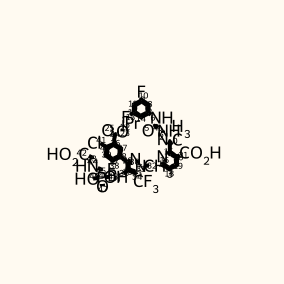 C/C(=N\NC(=O)Nc1cc(F)cc(F)c1)c1ncccc1C(=O)O.CC(C)OC(=O)c1cc(-c2nn(C)c(C(F)(F)F)c2Br)c(F)cc1Cl.O=C(O)CNCP(=O)(O)O